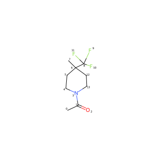 CC(=O)N1CCC(C)(C(F)(F)F)CC1